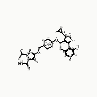 Cc1c(OCC23CCC(OCc4c(-c5c(Cl)cncc5Cl)noc4C4CC4)(CC2)CC3)nn(C(C)C)c1C(=O)O